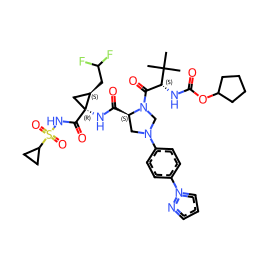 CC(C)(C)[C@H](NC(=O)OC1CCCC1)C(=O)N1CN(c2ccc(-n3cccn3)cc2)C[C@H]1C(=O)N[C@]1(C(=O)NS(=O)(=O)C2CC2)C[C@H]1CC(F)F